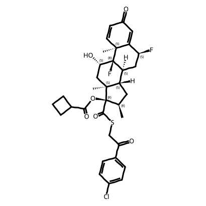 C[C@@H]1C[C@H]2[C@@H]3C[C@H](F)C4=CC(=O)C=C[C@]4(C)[C@@]3(F)[C@@H](O)C[C@]2(C)[C@@]1(OC(=O)C1CCC1)C(=O)SCC(=O)c1ccc(Cl)cc1